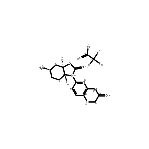 N[C@@H]1CC[C@@H]2[C@@H](C1)OC(=O)N2c1ccc2c(n1)NC(=O)CO2.O=C(O)C(F)(F)F